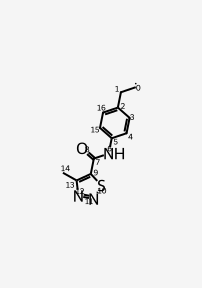 [CH2]Cc1ccc(NC(=O)c2snnc2C)cc1